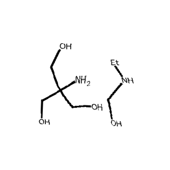 CCNCO.NC(CO)(CO)CO